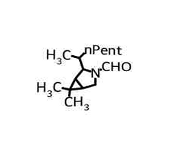 CCCCCC(C)C1C2C(CN1C=O)C2(C)C